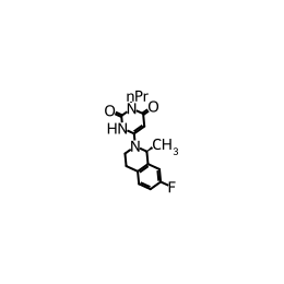 CCCn1c(=O)cc(N2CCc3ccc(F)cc3[C@@H]2C)[nH]c1=O